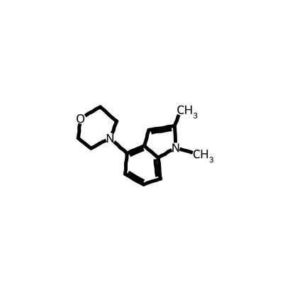 Cc1cc2c(N3CCOCC3)cccc2n1C